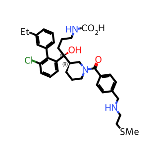 CCc1cccc(-c2c(Cl)cccc2[C@](O)(CCCNC(=O)O)[C@@H]2CCCN(C(=O)c3ccc(CNCCSC)cc3)C2)c1